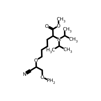 COC(=O)C(CCCCOC(C#N)COP)N(C(C)C)C(C)C